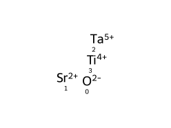 [O-2].[Sr+2].[Ta+5].[Ti+4]